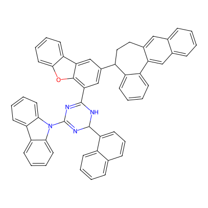 c1ccc2c(c1)-c1cc3ccccc3cc1CCC2c1cc(C2=NC(n3c4ccccc4c4ccccc43)=NC(c3cccc4ccccc34)N2)c2oc3ccccc3c2c1